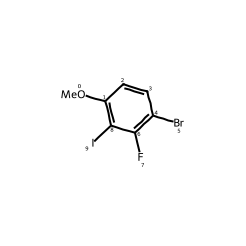 COc1ccc(Br)c(F)c1I